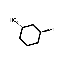 CC[C@H]1CCC[C@H](O)C1